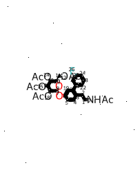 CC(=O)NCCc1ccc(OC2O[C@H](COC(C)=O)[C@@H](OC(C)=O)[C@H](OC(C)=O)[C@H]2OC(C)=O)cc1-c1cccc(F)c1